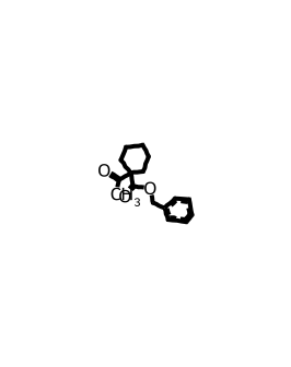 CC(=O)C1(C(=O)OCc2ccccc2)CCCCC1